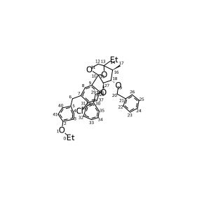 CCOc1ccc(Cc2cc(C34OCC(CC)(O3)[C@@H](C)[C@H](OCc3ccccc3)[C@H]4OCc3ccccc3)ccc2Cl)cc1